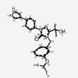 CC(C)(O)c1nn(-c2ccc(-c3cn[nH]c3)cc2)c(=O)n1Cc1cccc(OC(F)F)c1